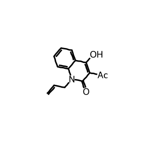 C=CCn1c(=O)c(C(C)=O)c(O)c2ccccc21